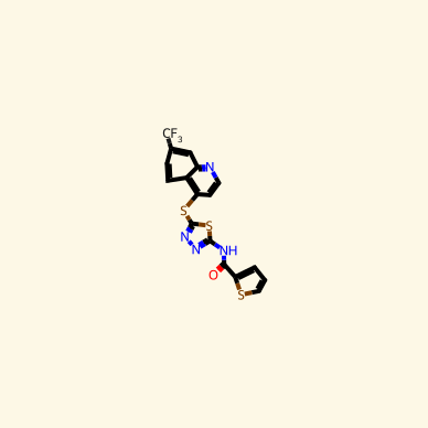 O=C(Nc1nnc(Sc2ccnc3cc(C(F)(F)F)ccc23)s1)c1cccs1